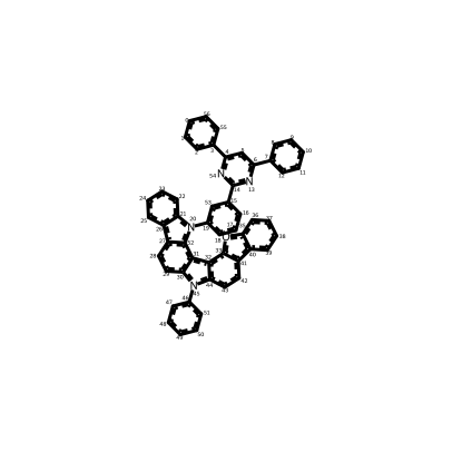 c1ccc(-c2cc(-c3ccccc3)nc(-c3cccc(-n4c5ccccc5c5ccc6c(c7c8oc9ccccc9c8ccc7n6-c6ccccc6)c54)c3)n2)cc1